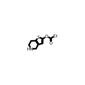 CCC(=O)Oc1cc2c(s1)CCNC2